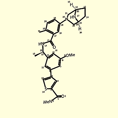 CNC(=O)c1cc(-c2cc(OC)cc([C@@H](C)NC(=O)c3cc(N4C[C@H]5CC[C@@H](C4)N5)ccc3C)c2)cs1